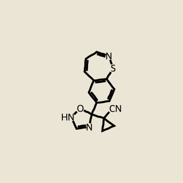 N#CC1(C2(c3ccc4c(c3)C=CC=NS4)N=CNO2)CC1